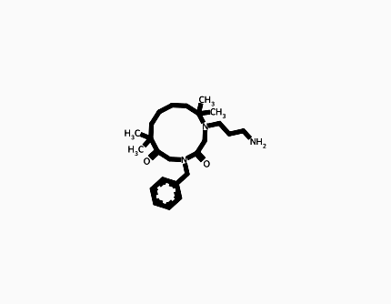 CC1(C)CCCCC(C)(C)N(CCCN)CC(=O)N(Cc2ccccc2)CC1=O